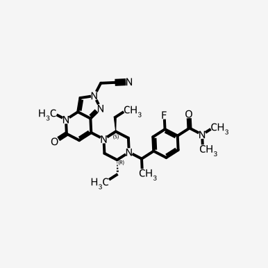 CC[C@H]1CN(C(C)c2ccc(C(=O)N(C)C)c(F)c2)[C@H](CC)CN1c1cc(=O)n(C)c2cn(CC#N)nc12